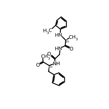 CC(=O)[C@H](Cc1ccccc1)NC(=O)CNC(=O)[C@H](C)Nc1ccccc1C